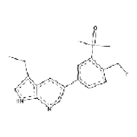 CCc1c[nH]c2ncc(-c3ccc(CF)c(P(C)(C)=O)c3)cc12